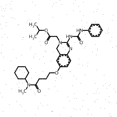 CC(C)OC(=O)CN1Cc2cc(OCCCC(=O)N(C)C3CCCCC3)ccc2N=C1NC(=O)Nc1ccccc1